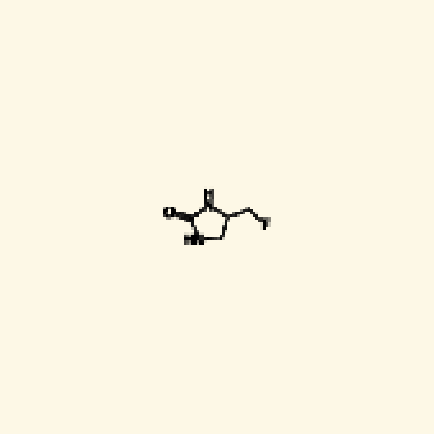 O=C1NCC(CF)N1